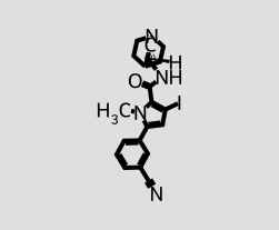 Cn1c(-c2cccc(C#N)c2)cc(I)c1C(=O)N[C@H]1CN2CCC1CC2